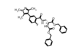 Cc1nn(C)c(C)c1-c1ccc(F)c(C(=O)NC[C@@H](NC(=O)OCc2ccccc2)C(=O)OCc2ccccc2)c1